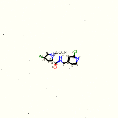 O=C(NCc1ccnc(Cl)c1)[C@@H]1C[C@@H](F)CN1C(=O)O